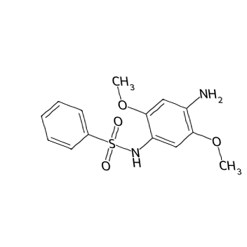 COc1cc(NS(=O)(=O)c2ccccc2)c(OC)cc1N